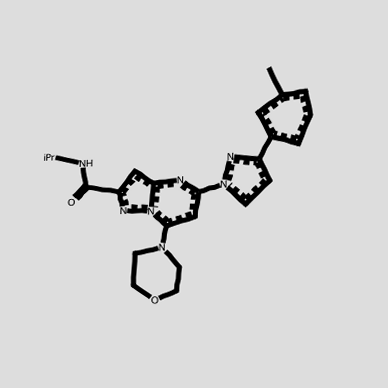 Cc1cccc(-c2ccn(-c3cc(N4CCOCC4)n4nc(C(=O)NC(C)C)cc4n3)n2)c1